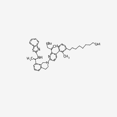 C=C(Nc1nc2ccccc2s1)c1cccc2c1CN(c1ccc(-c3cccc(CCCCCCCCO)c3C)c(C(=C)CC(C)(C)C)n1)CC2